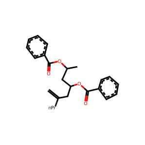 C=C(CCC)CC(CC(C)OC(=O)c1ccccc1)OC(=O)c1ccccc1